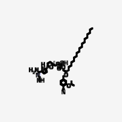 CCCCCCCCCCCCCCCCCCC[C@H](COP(=O)(O)OC[C@]1(C)CC[C@H](c2ccc(/C(N)=N\C=N)[nH]2)O1)OCc1ccc(C#N)c(OC(C)C)c1